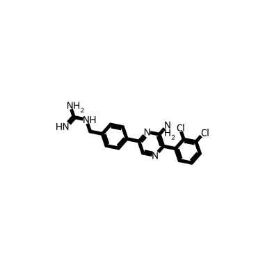 N=C(N)NCc1ccc(-c2cnc(-c3cccc(Cl)c3Cl)c(N)n2)cc1